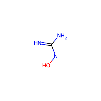 N=C(N)[N]O